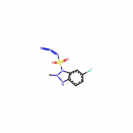 CN1Nc2ccc(F)cc2N1S(=O)(=O)N=[N+]=[N-]